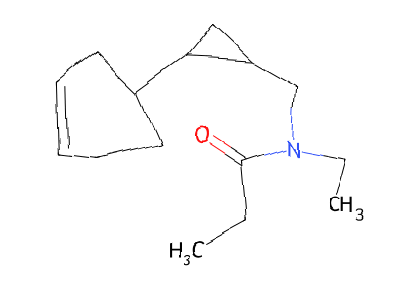 CCC(=O)N(CC)CC1CC1C1CC=CCC1